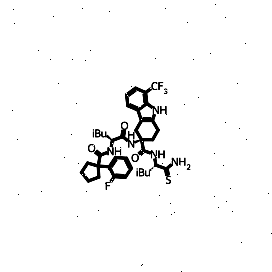 CCC(C)[C@H](NC(=O)C1(c2ccccc2F)CCCC1)C(=O)N[C@]1(C(=O)N[C@H](C(N)=S)C(C)CC)CCc2[nH]c3c(C(F)(F)F)cccc3c2C1